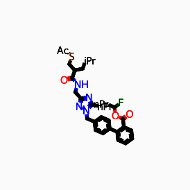 CCCc1nc(CNC(=O)C(CSC(C)=O)CC(C)C)nn1Cc1ccc(-c2ccccc2C(=O)OC(F)CCC)cc1